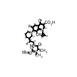 COc1c(N2CCC/C(=C(\F)CNC(=O)[C@H](C)N(C)C(=O)OC(C)(C)C)C2)c(F)cc2c(=O)c(C(=O)O)cn(C3CC3)c12